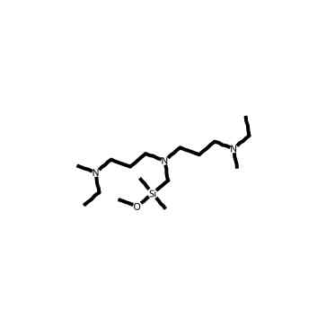 CCN(C)CCCN(CCCN(C)CC)C[Si](C)(C)OC